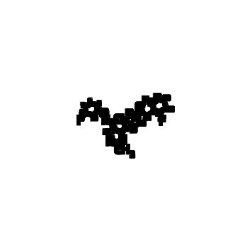 C/C(=N\Oc1cccc(F)c1)c1cnc(C)nc1C1CCN(C(=O)Cc2c(F)cccc2F)CC1